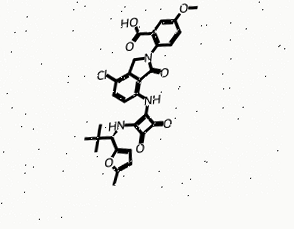 COc1ccc(N2Cc3c(Cl)ccc(Nc4c(N[C@@H](c5ccc(C)o5)C(C)(C)C)c(=O)c4=O)c3C2=O)c(C(=O)O)c1